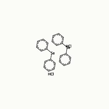 Cl.Cl.c1ccc([Se]c2ccccc2)cc1.c1ccc([Se]c2ccccc2)cc1